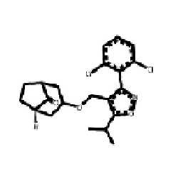 CC(C)c1onc(-c2c(Cl)cccc2Cl)c1COC1CC2CC[C@@H](C1)C2=O